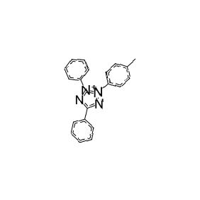 Cc1ccc(-n2nc(-c3ccccc3)n[n+]2-c2ccccc2)cc1